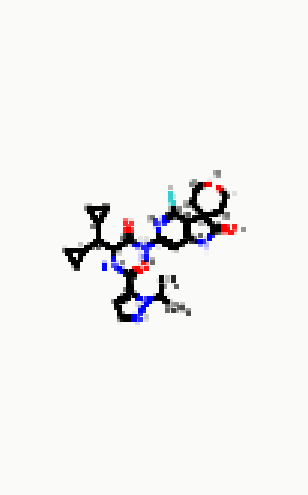 CC(C)n1nccc1C(=O)N[C@H](C(=O)Nc1cc2c(c(F)n1)C1(CCOCC1)C(=O)N2)C(C1CC1)C1CC1